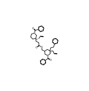 C=CC[C@]1(CCC(=O)OCC2CN(C(=O)c3ccccc3)C[C@@](CC=C)(CCc3ccccc3)C2)CCCN(C(=O)c2ccccc2)C1